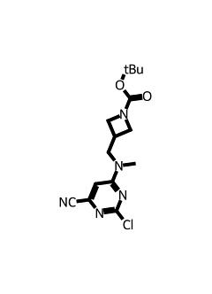 CN(CC1CN(C(=O)OC(C)(C)C)C1)c1cc(C#N)nc(Cl)n1